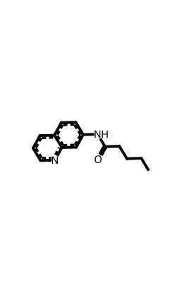 CCCCC(=O)Nc1ccc2cccnc2c1